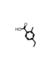 [CH2]Cc1ccc(C(=O)O)c(C)c1